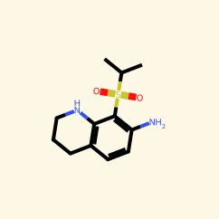 CC(C)S(=O)(=O)c1c(N)ccc2c1NCCC2